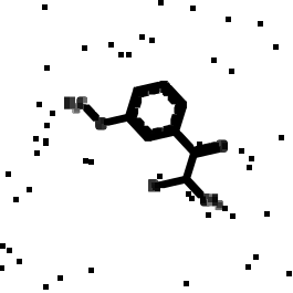 COc1cccc(C(=O)C(C)Br)c1